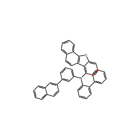 c1ccc(-c2ccccc2N(c2cccc(-c3ccc4ccccc4c3)c2)c2cccc3oc4c5ccccc5ccc4c23)cc1